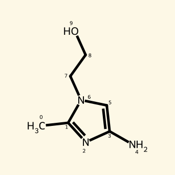 Cc1nc(N)cn1CCO